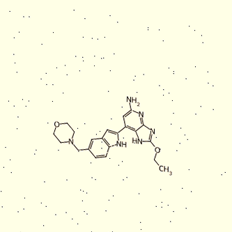 CCOc1nc2nc(N)cc(-c3cc4cc(CN5CCOCC5)ccc4[nH]3)c2[nH]1